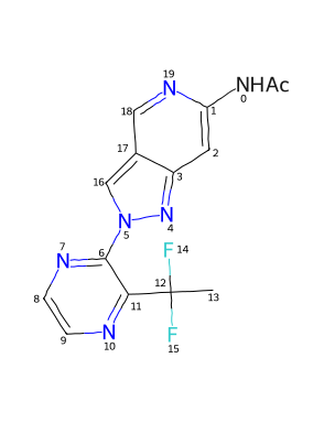 CC(=O)Nc1cc2nn(-c3nccnc3C(C)(F)F)cc2cn1